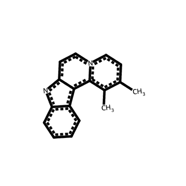 Cc1ccn2ccc3nc4ccccc4c-3c2c1C